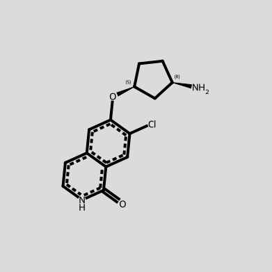 N[C@@H]1CC[C@H](Oc2cc3cc[nH]c(=O)c3cc2Cl)C1